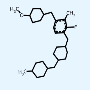 COC1CCC(Cc2ccc(CC3CCC(CC4CCC(C)CC4)CC3)c(F)c2C)CC1